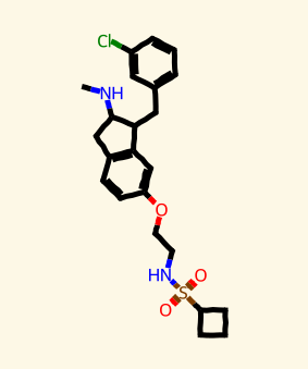 CNC1Cc2ccc(OCCNS(=O)(=O)C3CCC3)cc2C1Cc1cccc(Cl)c1